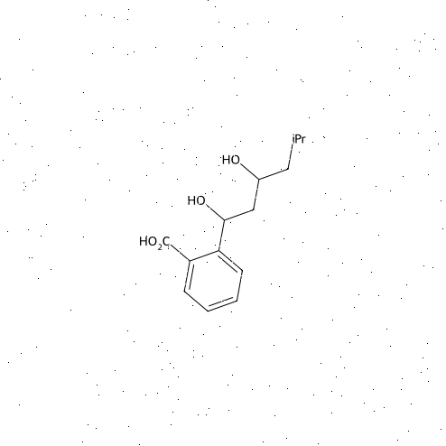 CC(C)CC(O)CC(O)c1ccccc1C(=O)O